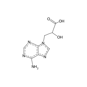 Nc1ncnc2c1ncn2CC(O)C(=O)O